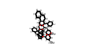 CC(C)(C)c1cc(-c2cccc3cccc(-c4ccccc4N(c4ccccc4-c4cccc5c4ccc4ccccc45)C4C=CC=CC4(C)c4cccc5sc6ccccc6c45)c23)cc(C(C)(C)C)c1